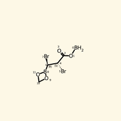 BOC(=O)[C@H](Br)[C@H](Br)B1OCO1